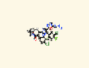 CC1(C)CN(C(=O)Cc2ccc(Cl)c(F)c2-n2c(C3CCCCC3)nc(-c3nnc(N)o3)c2-c2ccc(F)c(Cl)c2)C1